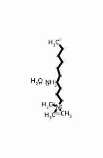 CCCCCCCCCC[N+](C)(C)C.N.O